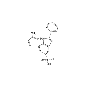 C=CC(N)=O.O=S(=O)(O)c1ccc2[nH]c(-c3ccccc3)nc2c1